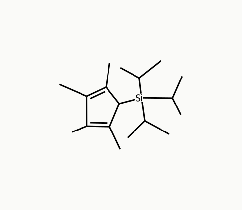 CC1=C(C)C(C)=C(C)[C]1[Si](C(C)C)(C(C)C)C(C)C